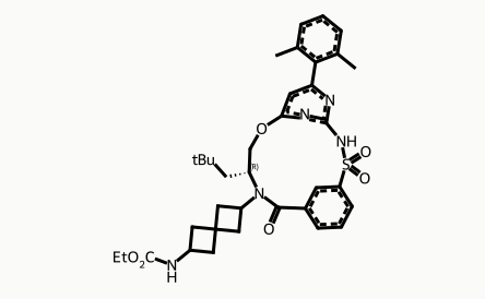 CCOC(=O)NC1CC2(C1)CC(N1C(=O)c3cccc(c3)S(=O)(=O)Nc3nc(cc(-c4c(C)cccc4C)n3)OC[C@H]1CC(C)(C)C)C2